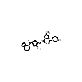 Cc1cc(C(=O)N2CCCCc3sccc32)ccc1COC(=O)N1CC(C)C[C@H]1C(=O)N1CCCNCC1